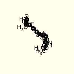 CCN(C)S(=O)(=O)Nc1ccc(F)c(Oc2ccc3ncn([C@H]4COC5(CCC(N6CCC(c7cc8c(cc7F)c(N7CCC(=O)NC7=O)nn8C)CC6)CC5)C4)c(=O)c3c2)c1C#N